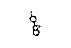 Fc1cnc(-c2cc3c[c]ccc3[nH]2)nc1